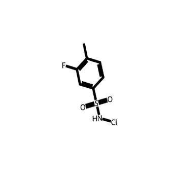 Cc1ccc(S(=O)(=O)NCl)cc1F